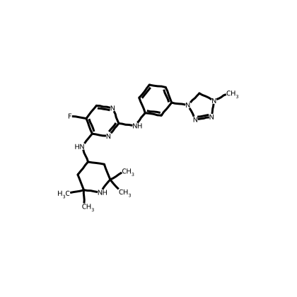 CN1CN(c2cccc(Nc3ncc(F)c(NC4CC(C)(C)NC(C)(C)C4)n3)c2)N=N1